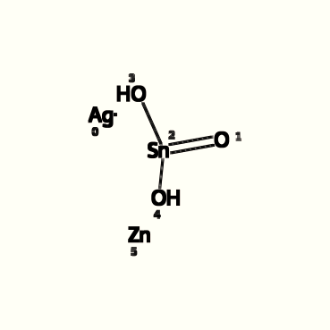 [Ag].[O]=[Sn]([OH])[OH].[Zn]